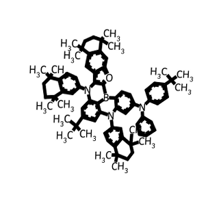 CC(C)(C)c1ccc(N(c2ccccc2)c2ccc3c(c2)N(c2ccc4c(c2)C(C)(C)CCC4(C)C)c2cc(C(C)(C)C)cc4c2B3c2oc3cc5c(cc3c2N4c2ccc3c(c2)C(C)(C)CCC3(C)C)C(C)(C)CCC5(C)C)cc1